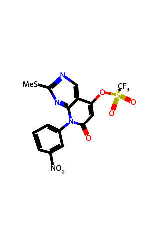 CSc1ncc2c(OS(=O)(=O)C(F)(F)F)cc(=O)n(-c3cccc([N+](=O)[O-])c3)c2n1